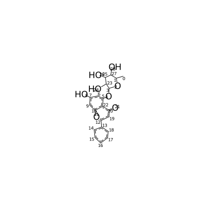 CC1OC(Oc2cc(O)cc3oc(-c4ccccc4)cc(=O)c23)C(O)C(O)C1O